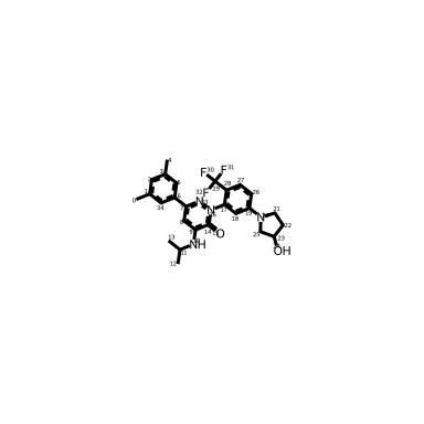 Cc1cc(C)cc(-c2cc(NC(C)C)c(=O)n(-c3cc(N4CCC(O)C4)ccc3C(F)(F)F)n2)c1